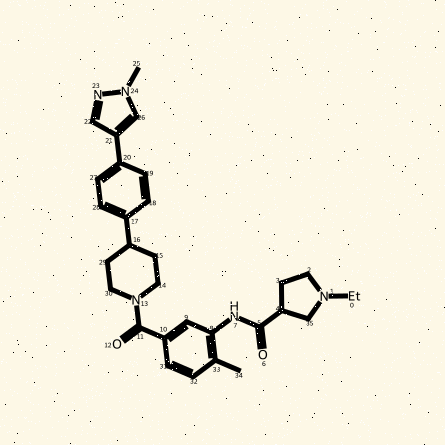 CCN1CCC(C(=O)Nc2cc(C(=O)N3CCC(c4ccc(-c5cnn(C)c5)cc4)CC3)ccc2C)C1